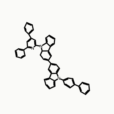 C1=C(c2ccc3c(c2)c2ccccc2n3-c2ccc(-c3ccccc3)cc2)C=C2c3ccccc3N(c3cc(-c4ccccc4)cc(-c4ccccc4)n3)C2C1